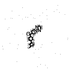 Cc1csc(-c2ccc(C(=O)C3CCN(c4ncccn4)CC3)cc2)c1